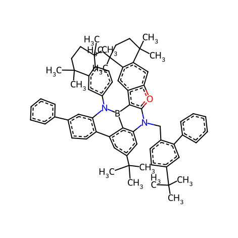 CC(C)(C)c1ccc(CN2c3cc(C(C)(C)C)cc4c3B(c3c2oc2cc5c(cc32)C(C)(C)CCC5(C)C)N(c2ccc3c(c2)C(C)(C)CCC3(C)C)c2cc(-c3ccccc3)ccc2-4)c(-c2ccccc2)c1